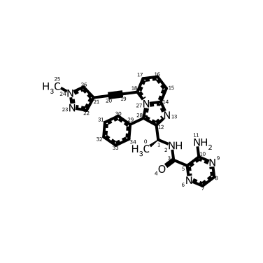 C[C@H](NC(=O)c1nccnc1N)c1nc2cccc(C#Cc3cnn(C)c3)n2c1-c1ccccc1